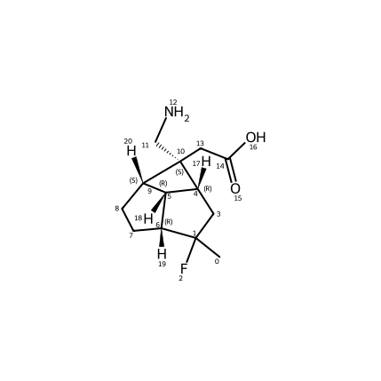 CC1(F)C[C@@H]2[C@@H]3[C@H]1CC[C@@H]3[C@@]2(CN)CC(=O)O